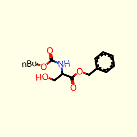 CCCCOC(=O)NC(CO)C(=O)OCc1ccccc1